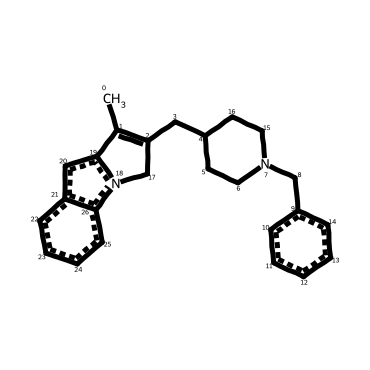 CC1=C(CC2CCN(Cc3ccccc3)CC2)Cn2c1cc1ccccc12